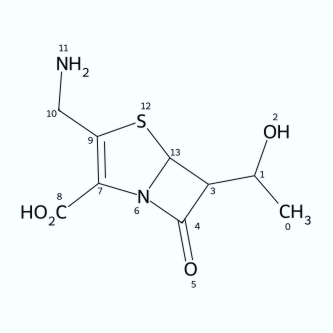 CC(O)C1C(=O)N2C(C(=O)O)=C(CN)SC12